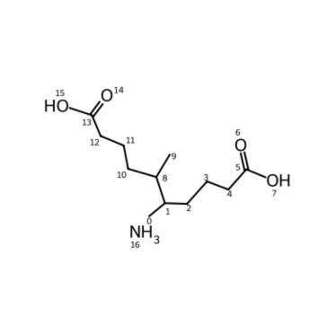 CC(CCCC(=O)O)C(C)CCCC(=O)O.N